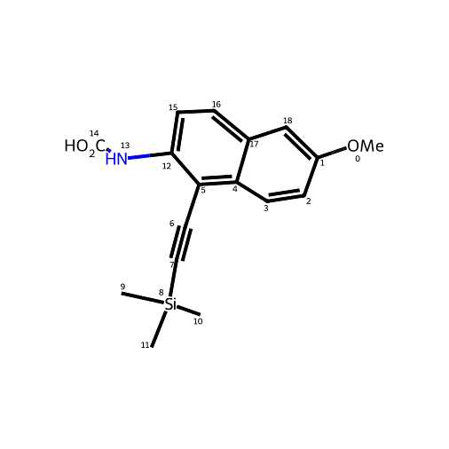 COc1ccc2c(C#C[Si](C)(C)C)c(NC(=O)O)ccc2c1